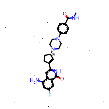 CNC(=O)c1ccc(N2CCN([C@H]3C=C(c4cc5c(N)cc(F)cc5c(=O)[nH]4)CC3)CC2)cc1